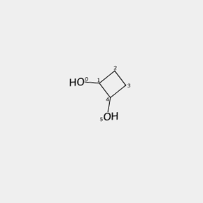 OC1CCC1O